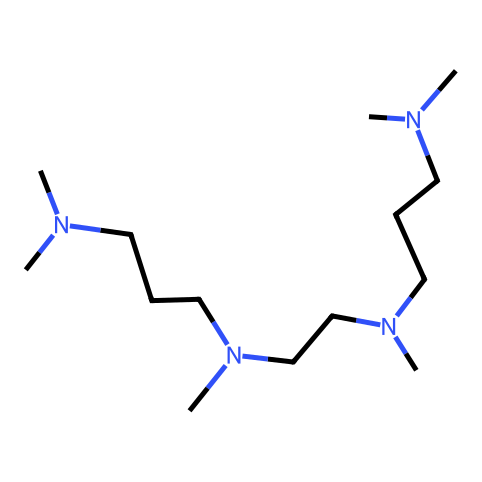 CN(C)CCCN(C)CCN(C)CCCN(C)C